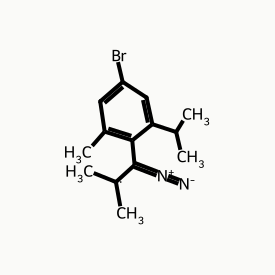 C[C](C)C(=[N+]=[N-])c1c(C)cc(Br)cc1C(C)C